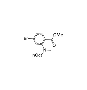 CCCCCCCCN(C)c1cc(Br)ccc1C(=O)OC